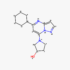 OC1CCN(c2cc(C3CCCCC3)nc3ccnn23)C1